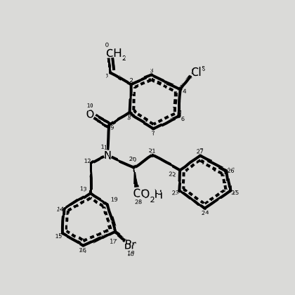 C=Cc1cc(Cl)ccc1C(=O)N(Cc1cccc(Br)c1)[C@@H](Cc1ccccc1)C(=O)O